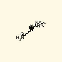 CCC(CC)Sc1ncc(C2CN(CCCCCC(N)=O)N=N2)cn1